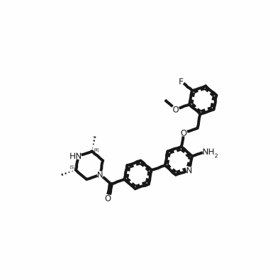 COc1c(F)cccc1COc1cc(-c2ccc(C(=O)N3C[C@@H](C)N[C@@H](C)C3)cc2)cnc1N